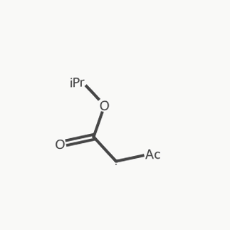 CC(=O)[CH]C(=O)OC(C)C